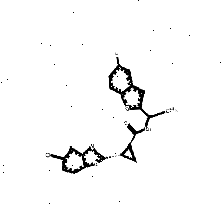 CC(NC(=O)[C@H]1C[C@@H]1c1nc2cc(Cl)ccc2o1)c1cc2cc(F)ccc2o1